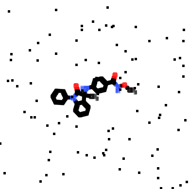 CONC(=O)c1ccc(NC2(C)C(=O)N(c3ccccc3)c3ccccc32)cc1